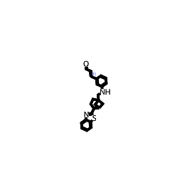 O=C/C=C/c1cccc(NCC23CCC(c4nc5ccccc5s4)=C(C2)C3)c1